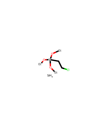 CCO[Si](CCCl)(OCC)OCC.[SiH4]